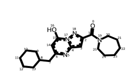 O=C(c1cc2nc(CC3CCCCC3)cc(O)n2n1)N1CCCCCC1